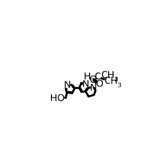 CC(C)(C)OC(=O)N1CCCc2cc(-c3cncc(CO)c3)cnc21